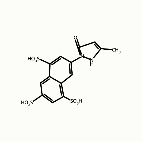 Cc1cc(=O)n(-c2cc(S(=O)(=O)O)c3cc(S(=O)(=O)O)cc(S(=O)(=O)O)c3c2)[nH]1